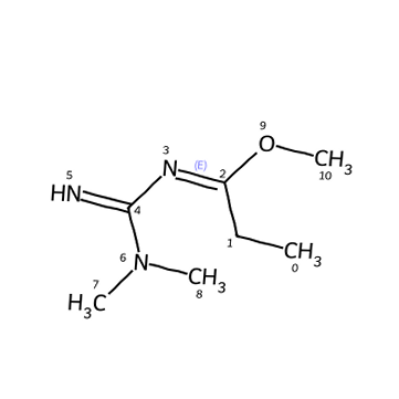 CC/C(=N\C(=N)N(C)C)OC